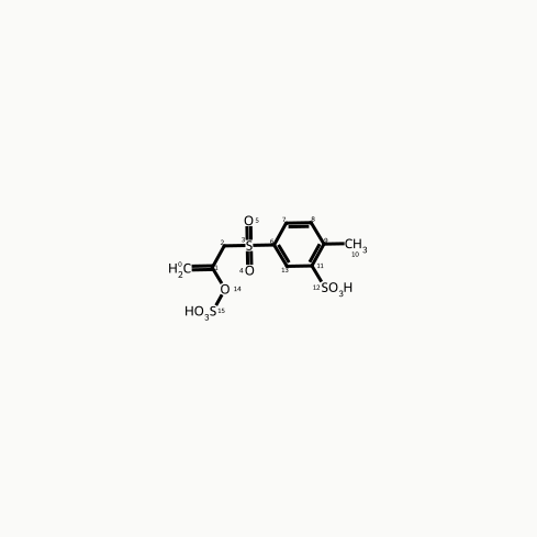 C=C(CS(=O)(=O)c1ccc(C)c(S(=O)(=O)O)c1)OS(=O)(=O)O